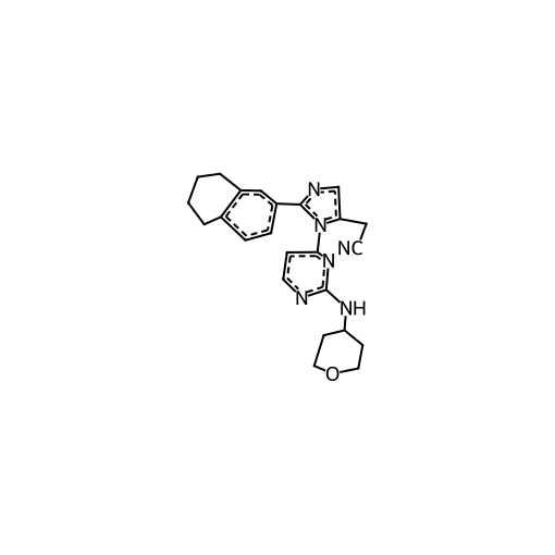 N#CCc1cnc(-c2ccc3c(c2)CCCC3)n1-c1ccnc(NC2CCOCC2)n1